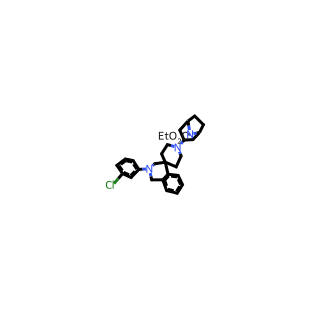 CCOC(=O)N1C2CCC1CC(N1CCC3(CC1)CN(c1cccc(Cl)c1)Cc1ccccc13)C2